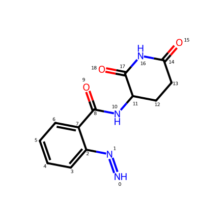 N=Nc1ccccc1C(=O)NC1CCC(=O)NC1=O